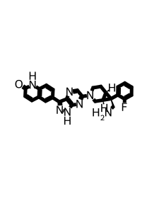 NC[C@]1(c2ccccc2F)[C@@H]2CCN(c3cnc4c(-c5ccc6[nH]c(=O)ccc6c5)n[nH]c4n3)C[C@@H]21